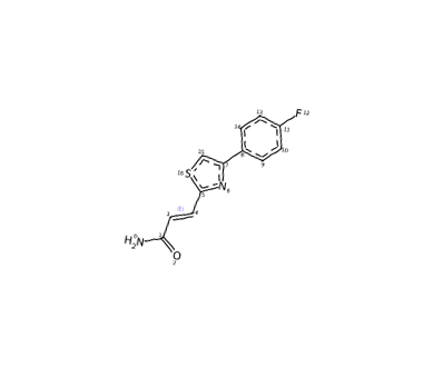 NC(=O)/C=C/c1nc(-c2ccc(F)cc2)cs1